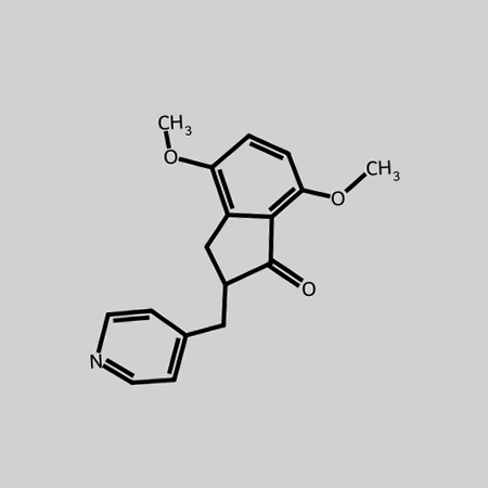 COc1ccc(OC)c2c1CC(Cc1ccncc1)C2=O